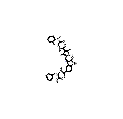 COC(=O)[C@H](Cc1ccccc1)NC(=O)c1ccc2c(c1)/C(=C/c1[nH]c(C)c(C(=O)N[C@H](Cc3ccccc3)C(=O)OC)c1C)C(=O)N2